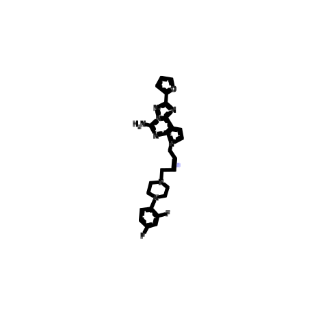 Nc1nc2c(ccn2C/C=C\CN2CCN(c3ccc(F)cc3F)CC2)c2nc(-c3ccco3)nn12